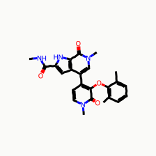 CNC(=O)c1cc2c(-c3ccn(C)c(=O)c3Oc3c(C)cccc3C)cn(C)c(=O)c2[nH]1